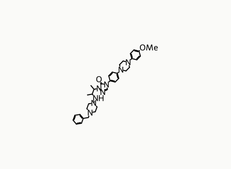 COc1ccc(N2CCN(c3ccc(-n4cnn(C(C)C(C)NN5CCN(Cc6ccccc6)CC5)c4=O)cc3)CC2)cc1